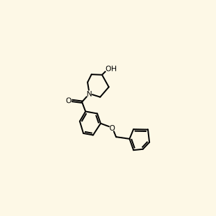 O=C(c1cccc(OCc2ccccc2)c1)N1CCC(O)CC1